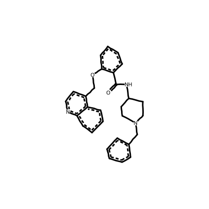 O=C(NC1CCN(Cc2ccccc2)CC1)c1ccccc1OCc1ccnc2ccccc12